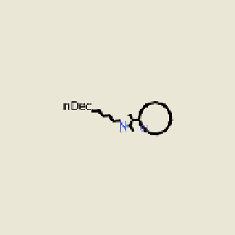 CCCCCCCCCCCCCCCCN(C)C(C)C(C)C1/C=C\CCCCCCCCCCCC1